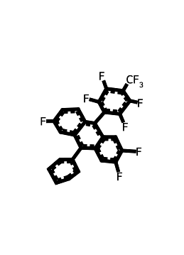 Fc1ccc2c(-c3c(F)c(F)c(C(F)(F)F)c(F)c3F)c3cc(F)c(F)cc3c(-c3ccccc3)c2c1